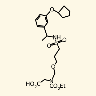 CCOC(=O)N(COCCCS(=O)(=O)NC(C)c1cccc(OC2CCCC2)c1)CC(=O)O